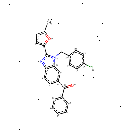 Cc1ccc(-c2nc3ccc(C(=O)c4ccccc4)cc3n2Cc2ccc(Cl)cc2)o1